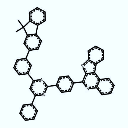 CC1(C)c2ccccc2-c2ccc(-c3cccc(-c4cc(-c5ccccc5)nc(-c5ccc(-c6nc7ccccc7c7c6sc6ccccc67)cc5)n4)c3)cc21